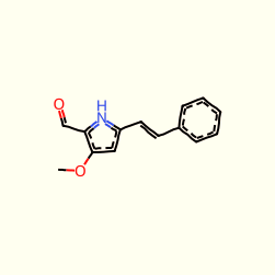 COc1cc(/C=C/c2ccccc2)[nH]c1C=O